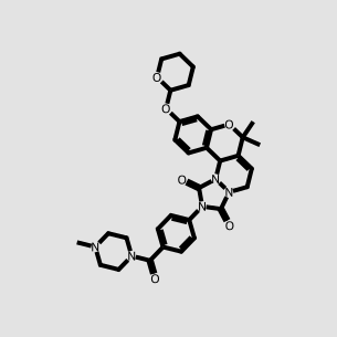 CN1CCN(C(=O)c2ccc(-n3c(=O)n4n(c3=O)C3C(=CC4)C(C)(C)Oc4cc(OC5CCCCO5)ccc43)cc2)CC1